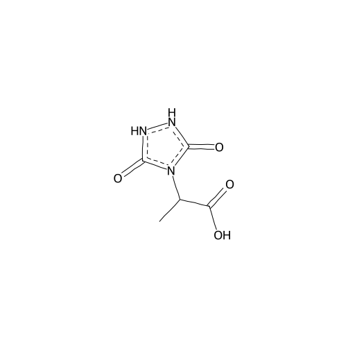 CC(C(=O)O)n1c(=O)[nH][nH]c1=O